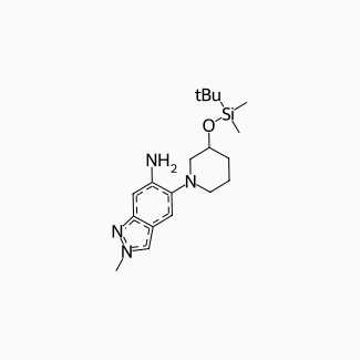 Cn1cc2cc(N3CCCC(O[Si](C)(C)C(C)(C)C)C3)c(N)cc2n1